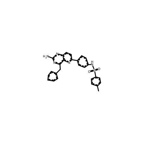 Cc1ccc(S(=O)(=O)Nc2ccc(-c3ccc4nc(N)nc(Cc5ccccc5)c4n3)cc2)cc1